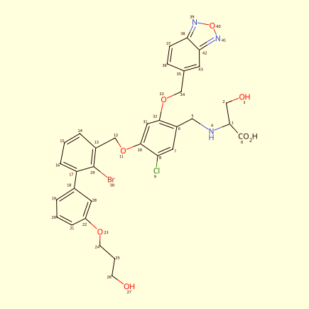 O=C(O)C(CO)NCc1cc(Cl)c(OCc2cccc(-c3cccc(OCCCO)c3)c2Br)cc1OCc1ccc2nonc2c1